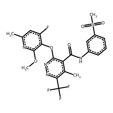 COc1nc(C)cc(F)c1Oc1nnc(C(F)(F)F)c(C)c1C(=O)Nc1cccc(S(C)(=O)=O)c1